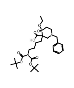 CCOP1(=O)CCN(Cc2ccccc2)CC1(CCCCN(C(=O)OC(C)(C)C)C(=O)OC(C)(C)C)C(=O)O